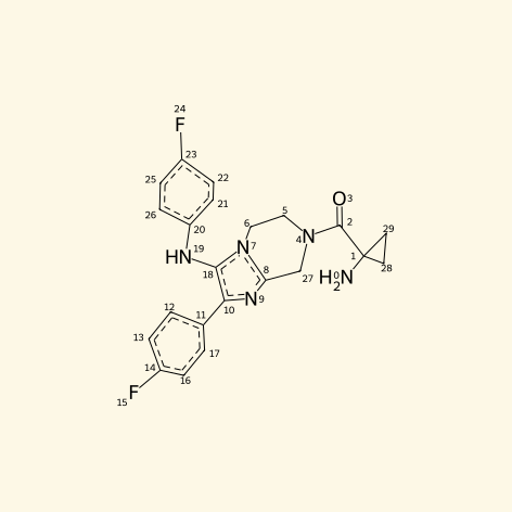 NC1(C(=O)N2CCn3c(nc(-c4ccc(F)cc4)c3Nc3ccc(F)cc3)C2)CC1